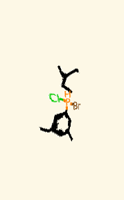 Cc1cc(C)cc([PH](Cl)(Br)CCC(C)C)c1